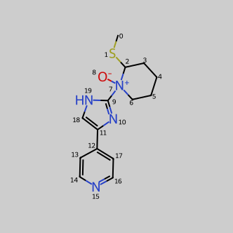 CSC1CCCC[N+]1([O-])c1nc(-c2ccncc2)c[nH]1